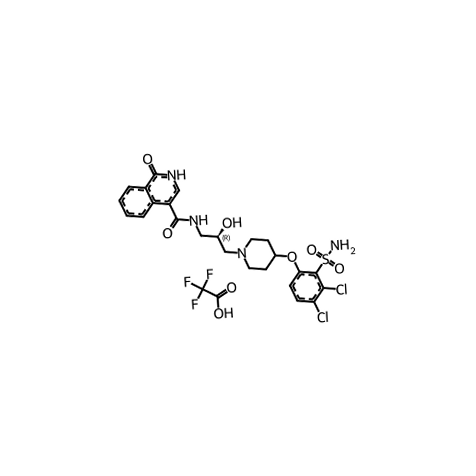 NS(=O)(=O)c1c(OC2CCN(C[C@H](O)CNC(=O)c3c[nH]c(=O)c4ccccc34)CC2)ccc(Cl)c1Cl.O=C(O)C(F)(F)F